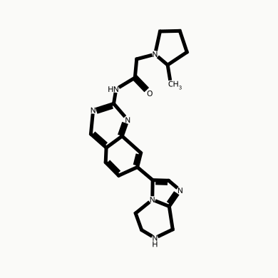 CC1CCCN1CC(=O)Nc1ncc2ccc(-c3cnc4n3CCNC4)cc2n1